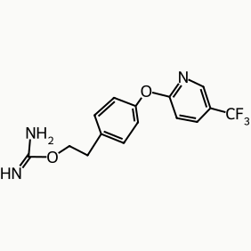 N=C(N)OCCc1ccc(Oc2ccc(C(F)(F)F)cn2)cc1